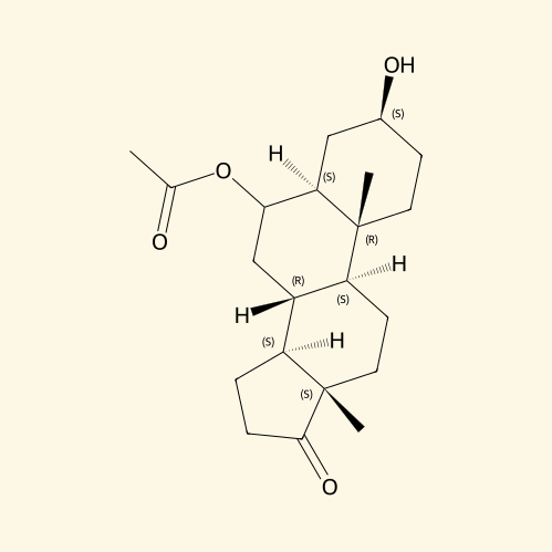 CC(=O)OC1C[C@@H]2[C@H](CC[C@]3(C)C(=O)CC[C@@H]23)[C@@]2(C)CC[C@H](O)C[C@H]12